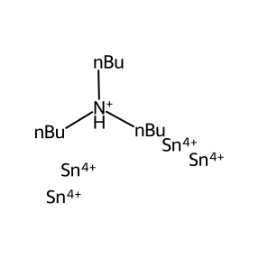 CCCC[NH+](CCCC)CCCC.[Sn+4].[Sn+4].[Sn+4].[Sn+4]